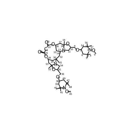 CON1C(C)(C)CC(OCC2CN3C4(C)CC(CC3(C)O2)OC(=O)CC(=O)OC2CC(C)(C4)N3CC(COC4CC(C)(C)N(OC)C(C)(C)C4)OC3(C)C2)CC1(C)C